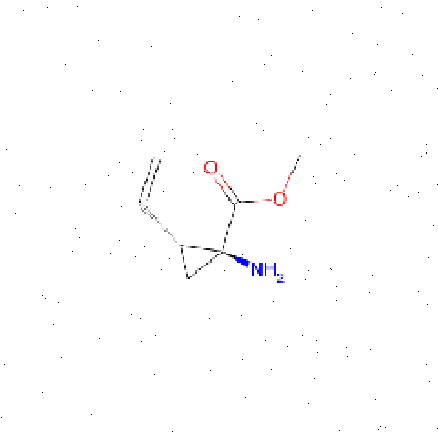 C=C[C@H]1C[C@@]1(N)C(=O)OC